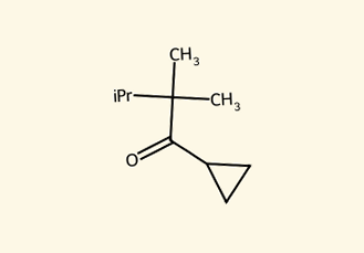 CC(C)C(C)(C)C(=O)C1CC1